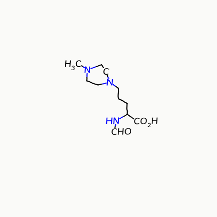 CN1CCN(CCCC(NC=O)C(=O)O)CC1